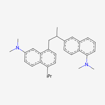 CC(C)c1ccc(CC(C)c2ccc3c(N(C)C)cccc3c2)c2cc(N(C)C)ccc12